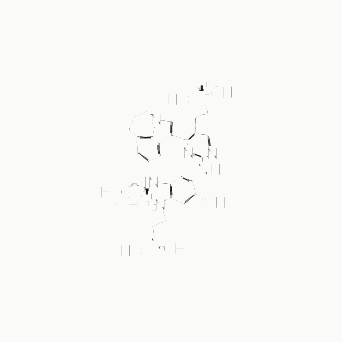 C=CC(=O)Nc1cc(Nc2ncc(CCP(C)(C)=O)c(-c3cn4c5c(cccc35)CCC4)n2)c(C)cc1N(C)CCN(C)C